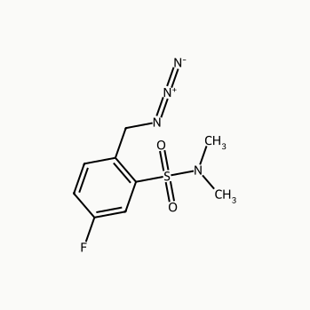 CN(C)S(=O)(=O)c1cc(F)ccc1CN=[N+]=[N-]